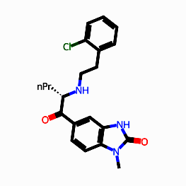 CCC[C@H](NCCc1ccccc1Cl)C(=O)c1ccc2c(c1)[nH]c(=O)n2C